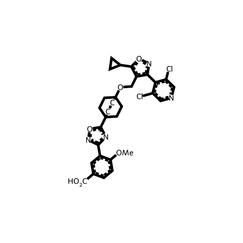 COc1ccc(C(=O)O)cc1-c1noc(C23CCC(OCc4c(-c5c(Cl)cncc5Cl)noc4C4CC4)(CC2)CC3)n1